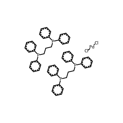 [Cl][Pd][Cl].c1ccc(P(CCCP(c2ccccc2)c2ccccc2)c2ccccc2)cc1.c1ccc(P(CCCP(c2ccccc2)c2ccccc2)c2ccccc2)cc1